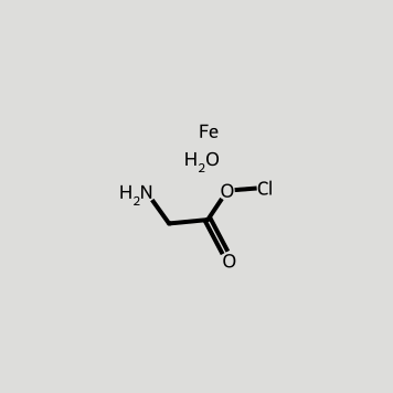 NCC(=O)OCl.O.[Fe]